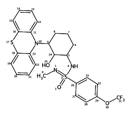 CN=S(=O)(NC1CCCC(N2c3ccccc3Sc3ccccc32)C1O)c1ccc(OC(F)(F)F)cc1